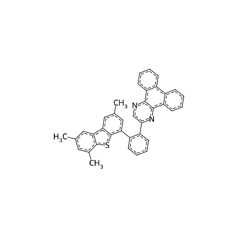 Cc1cc(C)c2sc3c(-c4ccccc4-c4cnc5c6ccccc6c6ccccc6c5n4)cc(C)cc3c2c1